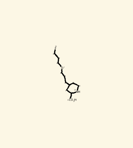 O=C(O)C1CC(CCCOCCCF)CCN1